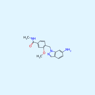 CNC(=O)c1ccc(Cn2ncc3ccc(N)cc32)c(OC)c1